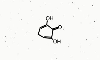 O=C1C(O)=CCC=C1O